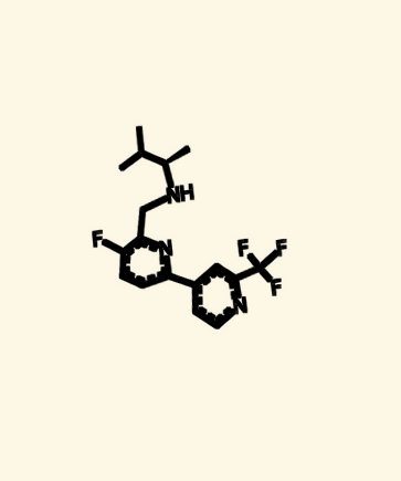 CC(C)[C@@H](C)NCc1nc(-c2ccnc(C(F)(F)F)c2)ccc1F